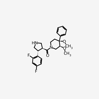 CO[C@H]1CN(C(=O)[C@@H]2CNC[C@H]2c2ccc(F)cc2F)CC[C@]1(OC)c1ccccc1